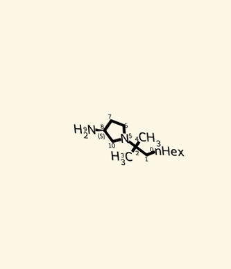 CCCCCCCC(C)(C)N1CC[C@H](N)C1